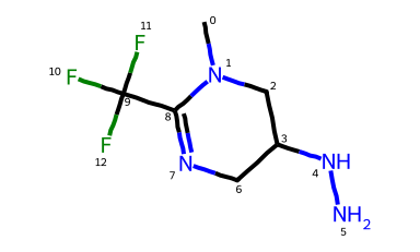 CN1CC(NN)CN=C1C(F)(F)F